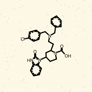 O=C(O)N1CCC(n2c(=O)[nH]c3ccccc32)CC1CCN(Cc1ccccc1)Cc1ccc(Cl)cc1